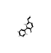 C=Cc1ccc(C)c(-c2ccccn2)n1